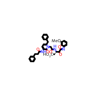 COc1cccc2nc(C(=O)[C@H](CC(=O)O)NC(=O)Cn3c(Cc4ccccc4)ccc(NC(=O)CCc4ccccc4)c3=O)oc12